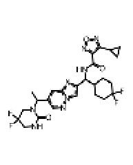 CC(c1cnn2cc(C(NC(=O)c3nonc3C3CC3)C3CCC(F)(F)CC3)nc2c1)N1CC(F)(F)CNC1=O